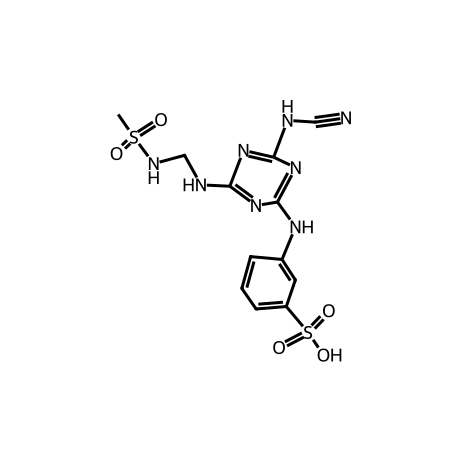 CS(=O)(=O)NCNc1nc(NC#N)nc(Nc2cccc(S(=O)(=O)O)c2)n1